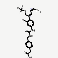 C/C=C\C=C(/COC(F)(F)F)c1ccc(NC(=O)NCc2ccc(CC(=O)O)cc2)cc1Cl